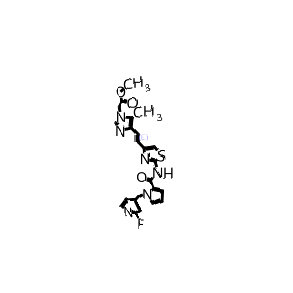 COC(=O)Cn1cnc(/C=C/c2csc(NC(=O)c3cccn3Cc3ccnc(F)c3)n2)c1C